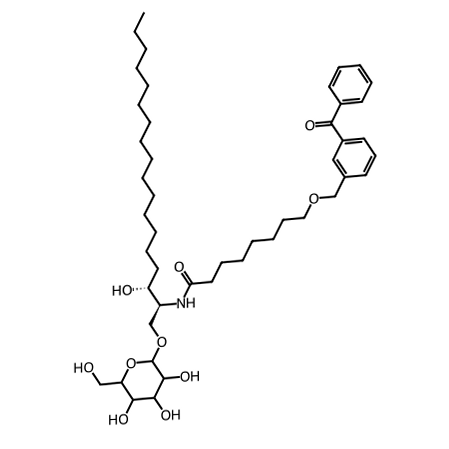 CCCCCCCCCCCCCCC[C@@H](O)[C@H](COC1OC(CO)C(O)C(O)C1O)NC(=O)CCCCCCCOCc1cccc(C(=O)c2ccccc2)c1